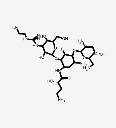 N=C(NCCN)NC1C(O)C(CO)OC(OC2C(NC(=O)[C@@H](O)CCN)CC(N)C(OC3OC(CN)[C@@H](O)C[C@@H]3N)C2F)C1O